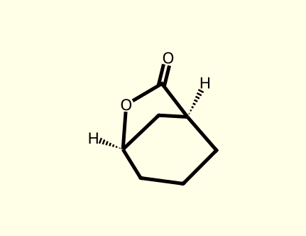 O=C1O[C@@H]2CCC[C@H]1C2